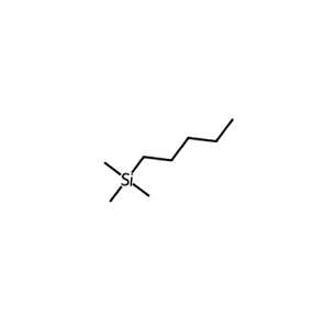 CCCCC[Si](C)(C)C